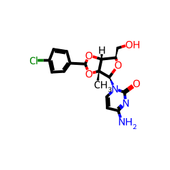 C[C@@]12OC(c3ccc(Cl)cc3)O[C@@H]1[C@@H](CO)O[C@H]2n1ccc(N)nc1=O